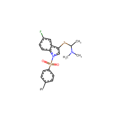 CC(C)c1ccc(S(=O)(=O)n2cc(SC(C)N(C)C)c3cc(F)ccc32)cc1